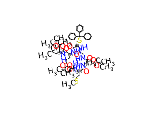 CSCC[C@H](NC=O)C(=O)N[C@@H](CC(=O)OC(C)(C)C)C(=O)NCC(=O)N[C@@H](CSC(c1ccccc1)(c1ccccc1)c1ccccc1)C(=O)N[C@@H](CCC(=O)OC(C)(C)C)C(=O)N[C@@H](CC(C)C)C(=O)OC(C)(C)C